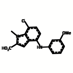 COc1cccc(Nc2ccc(Cl)c3c2cc(C(=O)O)n3C)c1